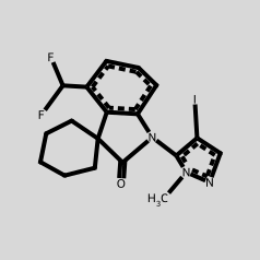 Cn1ncc(I)c1N1C(=O)C2(CCCCC2)c2c(C(F)F)cccc21